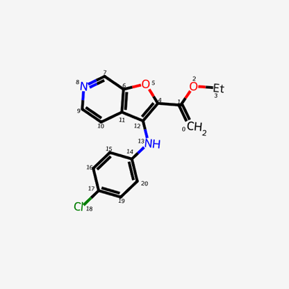 C=C(OCC)c1oc2cnccc2c1Nc1ccc(Cl)cc1